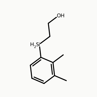 Cc1cccc([SiH2]CCO)c1C